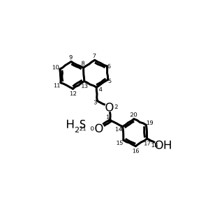 O=C(OCc1cccc2ccccc12)c1ccc(O)cc1.S